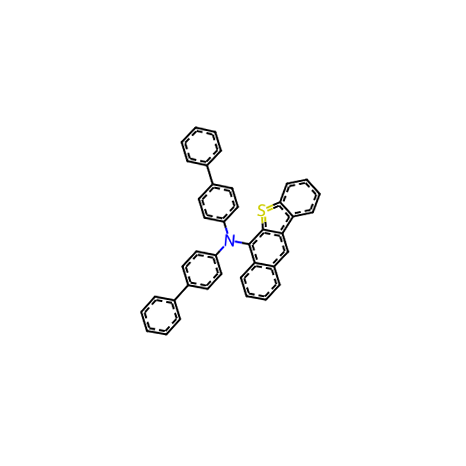 c1ccc(-c2ccc(N(c3ccc(-c4ccccc4)cc3)c3c4ccccc4cc4c3sc3ccccc34)cc2)cc1